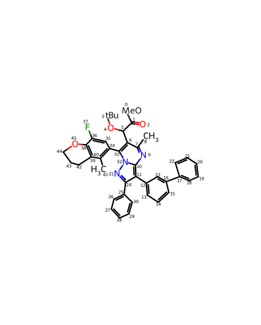 COC(=O)C(OC(C)(C)C)c1c(C)nc2c(-c3cccc(-c4ccccc4)c3)c(-c3ccccc3)nn2c1-c1cc(F)c2c(c1C)CCCO2